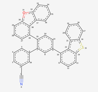 N#Cc1cccc(-c2cc(-c3cccc4sc5ccccc5c34)ccc2-c2cccc3oc4ccccc4c23)c1